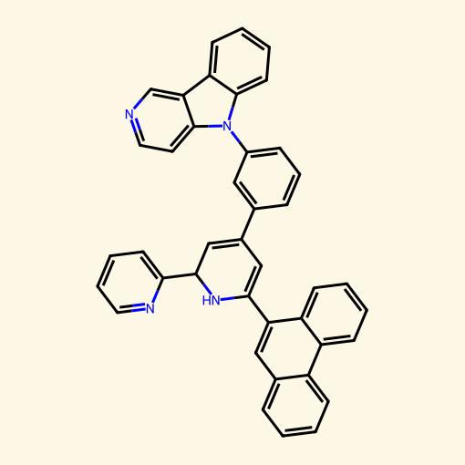 C1=C(c2cccc(-n3c4ccccc4c4cnccc43)c2)C=C(c2cc3ccccc3c3ccccc23)NC1c1ccccn1